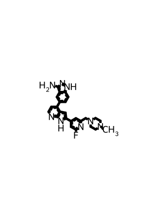 CN1CCN(Cc2cc(-c3cc4c(-c5ccc6[nH]nc(N)c6c5)ccnc4[nH]3)cc(F)n2)CC1